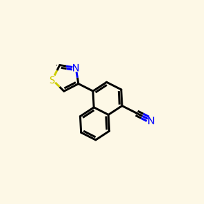 N#Cc1ccc(-c2cs[c]n2)c2ccccc12